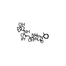 Cc1ccccc1N1CC(C)(C)N(C[C@H](N)[C@@H](O)C[C@H](C(=O)NC2CCC3(O)CC4CC2(C4)C3)C(C)C)CC1=O